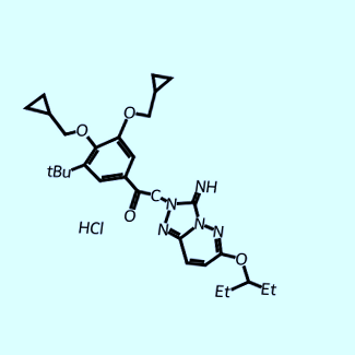 CCC(CC)Oc1ccc2nn(CC(=O)c3cc(OCC4CC4)c(OCC4CC4)c(C(C)(C)C)c3)c(=N)n2n1.Cl